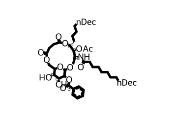 CCCCCCCCCCCCCCCCCC(=O)N[C@H]1COC2OC(COC(=O)CCC(=O)O[C@H](CCCCCCCCCCCCCC)[C@H]1OC(C)=O)[C@@H](O)[C@H](C)C2OC(=O)c1ccccc1